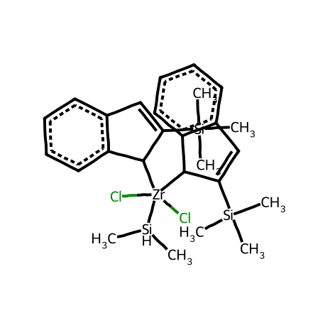 C[SiH](C)[Zr]([Cl])([Cl])([CH]1C([Si](C)(C)C)=Cc2ccccc21)[CH]1C([Si](C)(C)C)=Cc2ccccc21